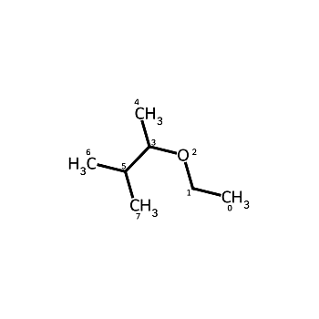 CCOC(C)C(C)C